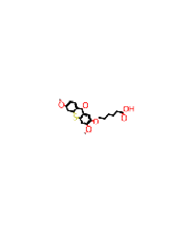 COC1=CC=C2C(=O)c3cc(OCCCCCC(=O)O)c(OC)cc3SC2C1